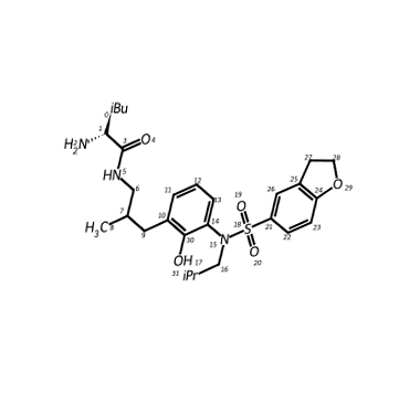 CC[C@H](C)[C@@H](N)C(=O)NCC(C)Cc1cccc(N(CC(C)C)S(=O)(=O)c2ccc3c(c2)CCO3)c1O